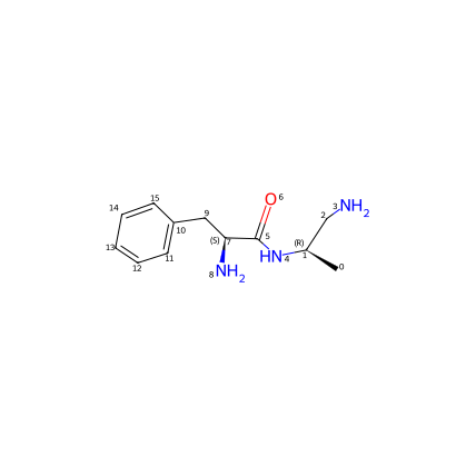 C[C@H](CN)NC(=O)[C@@H](N)Cc1ccccc1